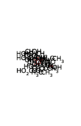 CC1OC(OC2C(OC3C(OC4C(O)C(C(=O)O)OC(OC5CCC6(C)C(CCC7(C)C6CCC68OCC9(CCC(C)(C)CC96)C(O)CC78C)C5(C)C)C4OC4OC(CO)C(O)C(O)C4O)CC(CO)C(O)C3O)OC(C)C(O)C2O)C(O)C(O)C1O